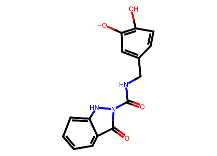 O=C(NCc1ccc(O)c(O)c1)n1[nH]c2ccccc2c1=O